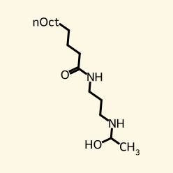 CCCCCCCCCCCC(=O)NCCCNC(C)O